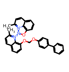 Cc1ccc2cccc(OCOc3ccc(-c4ccccc4)cc3)c2[n+]1N1Oc2cccc3ccc(C)[n+]1c23